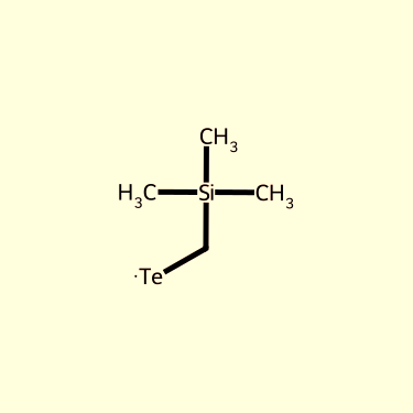 C[Si](C)(C)C[Te]